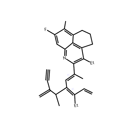 C#CC(=C)C(C)C(/C=C(\C)c1nc2cc(F)c(C)c3c2c(c1CC)CCC3)=C(/C=C)CC